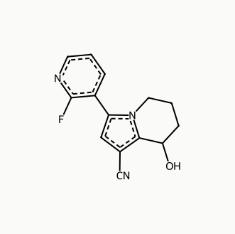 N#Cc1cc(-c2cccnc2F)n2c1C(O)CCC2